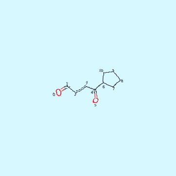 O=[C]C=CC(=O)C1CCCC1